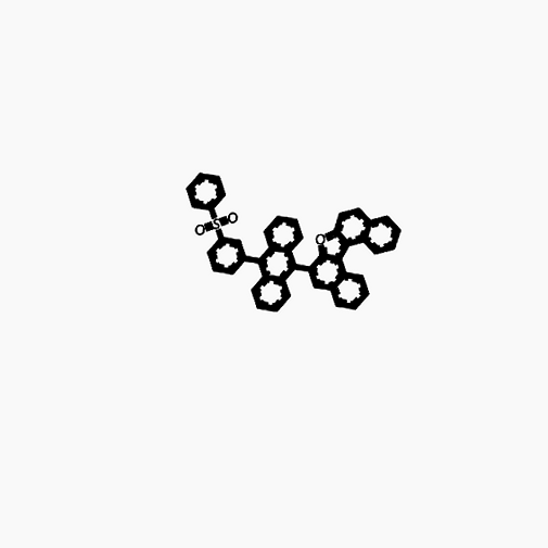 O=S(=O)(c1ccccc1)c1cccc(-c2c3ccccc3c(-c3cc4ccccc4c4c3oc3ccc5ccccc5c34)c3ccccc23)c1